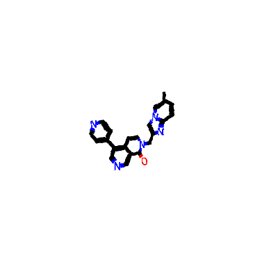 Cc1ccc2nc(Cn3ccc4c(-c5ccncc5)cncc4c3=O)cn2c1